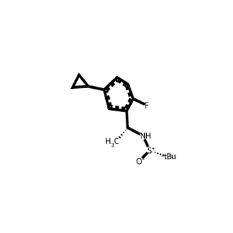 C[C@@H](N[S@@+]([O-])C(C)(C)C)c1cc(C2CC2)ccc1F